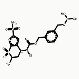 CCN(C(=O)OCc1cccc(CON(O)O)c1)[C@H]1CC(C)S(=O)(=O)c2sc(S(N)(=O)=O)cc21